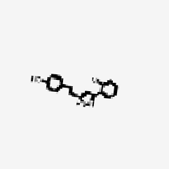 Oc1ccc(C=Cc2cc(-c3ccccc3Cl)n[nH]2)cc1